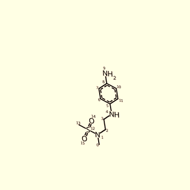 CN(CCNc1ccc(N)cc1)S(C)(=O)=O